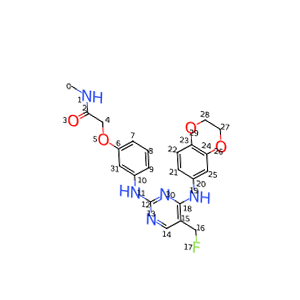 CNC(=O)COc1cccc(Nc2ncc(CF)c(Nc3ccc4c(c3)OCCO4)n2)c1